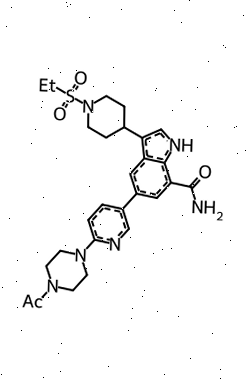 CCS(=O)(=O)N1CCC(c2c[nH]c3c(C(N)=O)cc(-c4ccc(N5CCN(C(C)=O)CC5)nc4)cc23)CC1